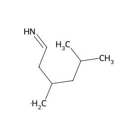 [CH2]C(CC=N)CC(C)C